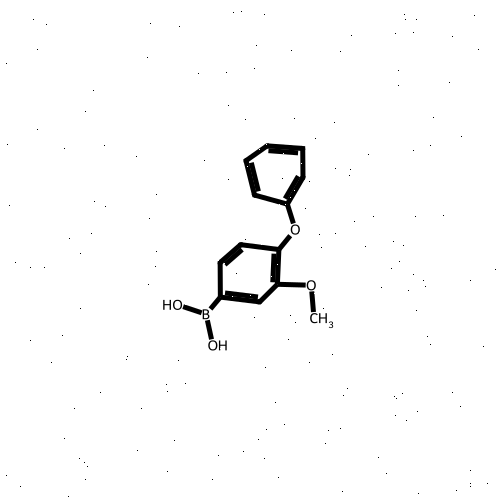 COc1cc(B(O)O)ccc1Oc1ccccc1